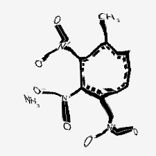 Cc1ccc([N+](=O)[O-])c([N+](=O)[O-])c1[N+](=O)[O-].N